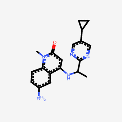 CC(Nc1cc(=O)n(C)c2ccc(N)cc12)c1ncc(C2CC2)cn1